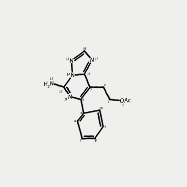 CC(=O)OCCc1c(-c2ccccc2)nc(N)n2ncnc12